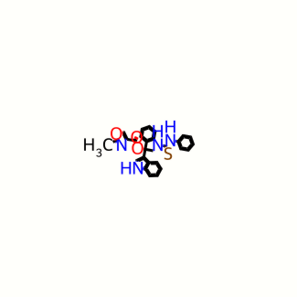 Cc1nc(C(=O)OC(CNC(=S)Nc2ccccc2)(c2ccccc2)c2c[nH]c3ccccc23)co1